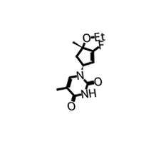 CCO[C@@]1(C)C[C@@H](n2cc(C)c(=O)[nH]c2=O)C=C1F